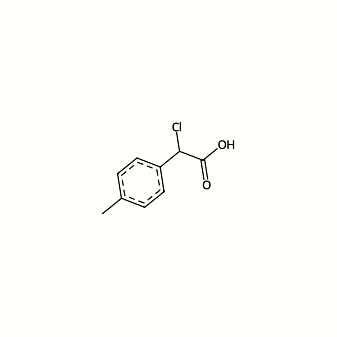 Cc1ccc(C(Cl)C(=O)O)cc1